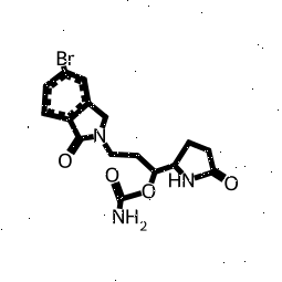 NC(=O)OC(CCN1Cc2cc(Br)ccc2C1=O)C1CCC(=O)N1